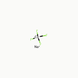 [F][Co-]([F])([F])[F].[Na+]